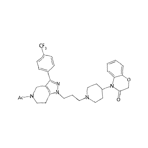 CC(=O)N1CCc2c(c(-c3ccc(C(F)(F)F)cc3)nn2CCCN2CCC(N3C(=O)COc4ccccc43)CC2)C1